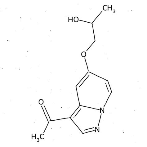 CC(=O)c1cnn2ccc(OCC(C)O)cc12